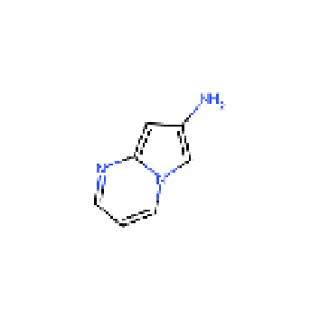 Nc1cc2ncccn2c1